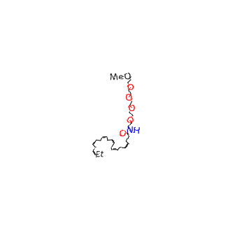 CC/C=C\C/C=C\C/C=C\C/C=C\C/C=C\C/C=C\CCC(=O)NCCOCCOCCOCCOCCOC